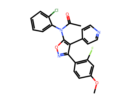 COc1ccc(-c2noc(N(C(C)=O)c3ccccc3Cl)c2-c2ccncc2)c(F)c1